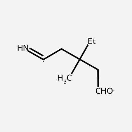 CCC(C)(C[C]=N)C[C]=O